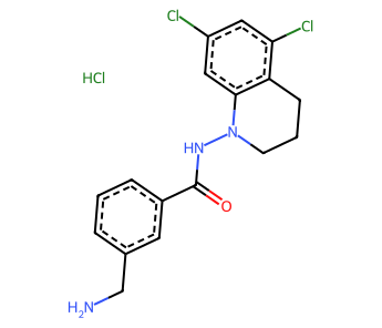 Cl.NCc1cccc(C(=O)NN2CCCc3c(Cl)cc(Cl)cc32)c1